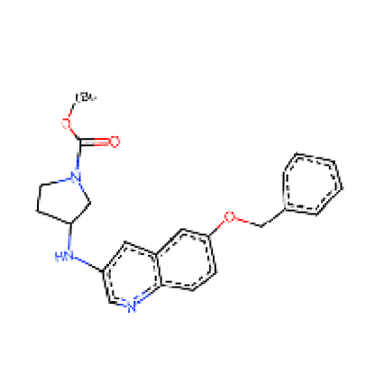 CC(C)(C)OC(=O)N1CCC(Nc2cnc3ccc(OCc4ccccc4)cc3c2)C1